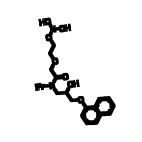 CC(C)N(CC(O)COc1cccc2ccccc12)C(=O)COCCON(O)O